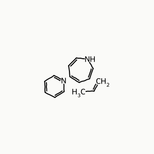 C1=CC=CNC=C1.C=CC.c1ccncc1